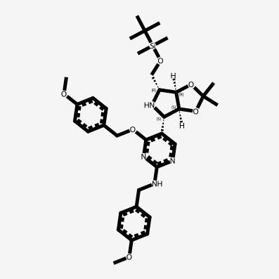 COc1ccc(CNc2ncc([C@@H]3N[C@H](CO[Si](C)(C)C(C)(C)C)[C@H]4OC(C)(C)O[C@H]43)c(OCc3ccc(OC)cc3)n2)cc1